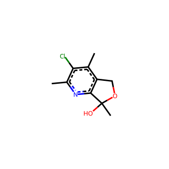 Cc1nc2c(c(C)c1Cl)COC2(C)O